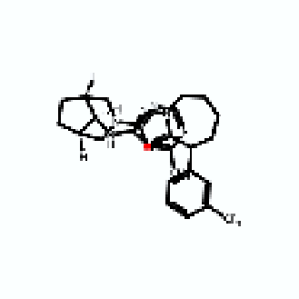 Cc1cc(N2C[C@H]3CC[C@@H](C2)[C@@H]3Nc2nc3n(n2)CCCC[C@H]3c2cccc(C(F)(F)F)c2)ncn1